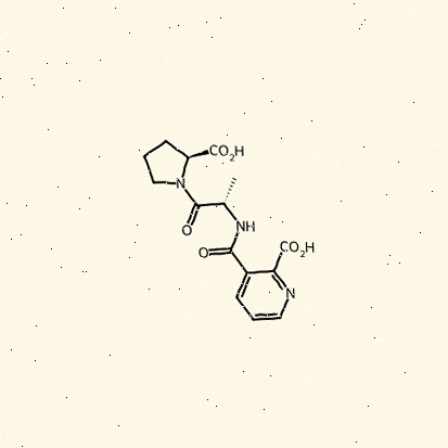 C[C@H](NC(=O)c1cccnc1C(=O)O)C(=O)N1CCC[C@H]1C(=O)O